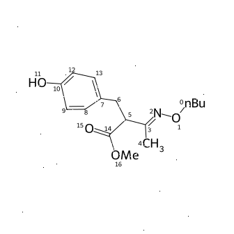 CCCCON=C(C)C(Cc1ccc(O)cc1)C(=O)OC